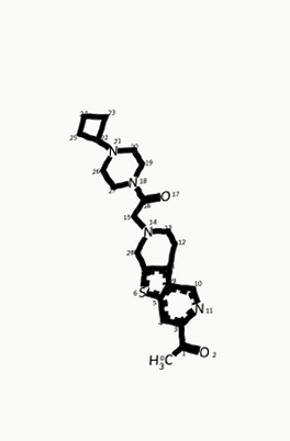 CC(=O)c1cc2sc3c(c2cn1)CCN(CC(=O)N1CCN(C2CCC2)CC1)C3